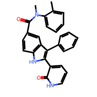 Cc1ccccc1N(C)C(=O)c1ccc2[nH]c(-c3ccc[nH]c3=O)c(-c3ccccc3)c2c1